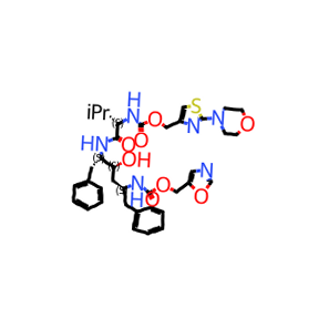 CC(C)[C@H](NC(=O)OCc1csc(N2CCOCC2)n1)C(=O)N[C@@H](Cc1ccccc1)[C@@H](O)C[C@H](Cc1ccccc1)NC(=O)OCc1cnco1